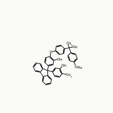 COc1ccc(C(C)(O)c2ccc(Oc3ccc(C4(c5ccc(C)c(O)c5)c5ccccc5-c5ccccc54)cc3O)cc2)cc1